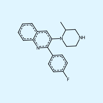 CC1CNCCN1c1cc2ccccc2nc1-c1ccc(F)cc1